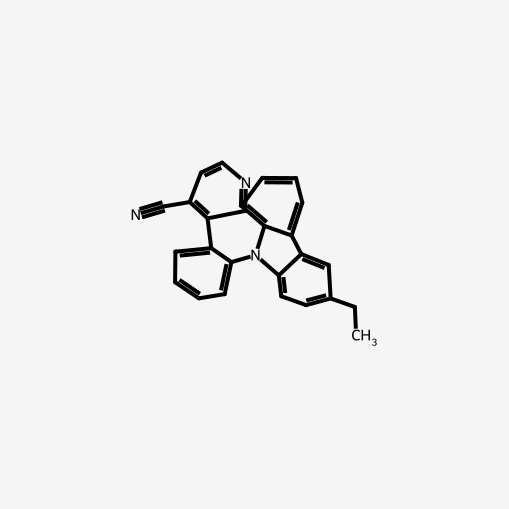 CCc1ccc2c(c1)c1ccccc1n2-c1ccccc1-c1cnccc1C#N